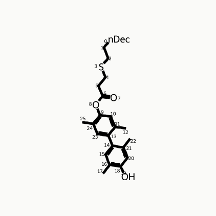 CCCCCCCCCCCCSCCC(=O)Oc1cc(C)c(-c2cc(C)c(O)cc2C)cc1C